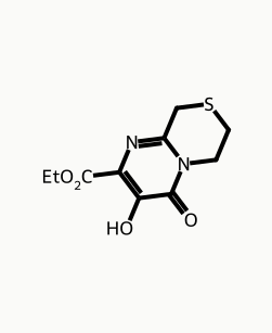 CCOC(=O)c1nc2n(c(=O)c1O)CCSC2